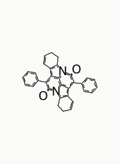 O=c1c(-c2ccccc2)c2c3c(n4c(=O)c(-c5ccccc5)c5c6c(n1c5c24)CCC=C6)CCC=C3